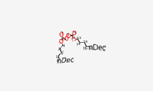 CCCCCCCCCCCCCCOC(=O)OOC(=O)OCCCCCCCCCCCCCC